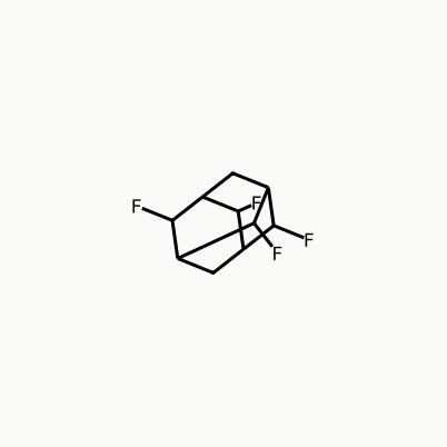 FC1C2CC3C(F)C1CC(C2F)C3F